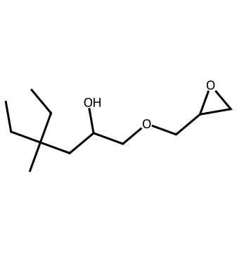 CCC(C)(CC)CC(O)COCC1CO1